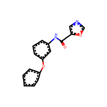 O=C(Nc1cccc(Oc2ccccc2)c1)c1cnco1